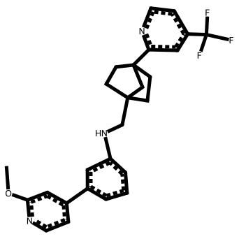 COc1cc(-c2cccc(NCC34CCC(c5cc(C(F)(F)F)ccn5)(CC3)C4)c2)ccn1